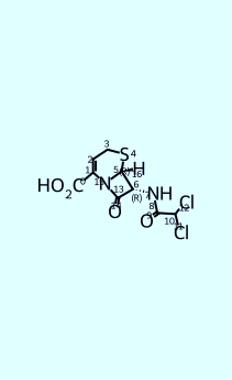 O=C(O)C1=CCS[C@@H]2[C@H](NC(=O)C(Cl)Cl)C(=O)N12